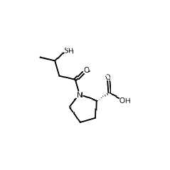 CC(S)CC(=O)N1CCC[C@H]1C(=O)O